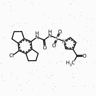 CC(=O)c1ccn(S(=O)(=O)NC(=O)Nc2c3c(c(Cl)c4c2CCC4)CCC3)c1